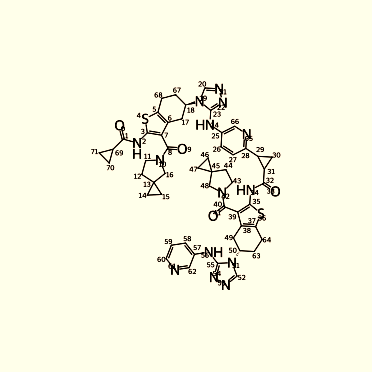 O=C(Nc1sc2c(c1C(=O)N1CCC3(CC3)C1)C[C@H](n1cnnc1Nc1ccc(C3CC3C(=O)Nc3sc4c(c3C(=O)N3CCC5(CC5)C3)C[C@@H](n3cnnc3Nc3cccnc3)CC4)nc1)CC2)C1CC1